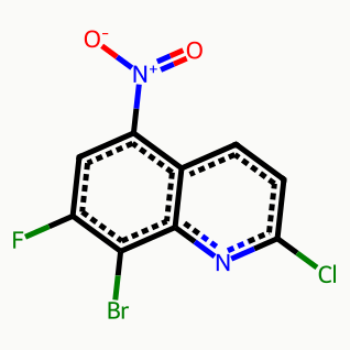 O=[N+]([O-])c1cc(F)c(Br)c2nc(Cl)ccc12